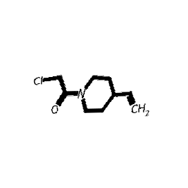 C=CC1CCN(C(=O)CCl)CC1